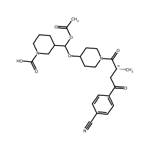 CC(=O)OC(OC1CCN(C(=O)[C@H](C)CC(=O)c2ccc(C#N)cc2)CC1)C1CCCN(C(=O)O)C1